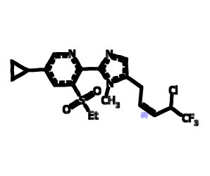 CCS(=O)(=O)c1cc(C2CC2)cnc1-c1ncc(C/C=C\C(Cl)C(F)(F)F)n1C